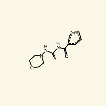 O=C(NC(=S)NN1CCOCC1)c1cccnc1